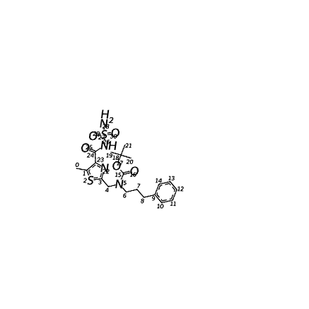 Cc1sc(CN(CCCc2ccccc2)C(=O)OC(C)(C)C)nc1C(=O)NS(N)(=O)=O